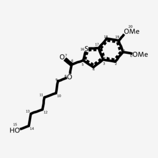 COc1cc2cc(C(=O)OCCCCCCO)sc2cc1OC